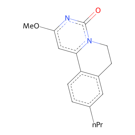 CCCc1ccc2c(c1)CCn1c-2cc(OC)nc1=O